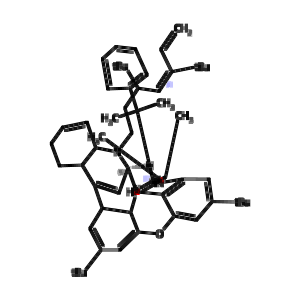 C=C/C(=C\C(CCN1C2C=CCCC2C2=C[C@@H]1[PH]13/N=C(\C)C(C(C)(C)c4ccccc4)C(C)Nc4cc(C(C)(C)C)cc(c41)OC1=CC(C(C)(C)C)=CC2C13)C(C)(C)C)C(C)(C)C